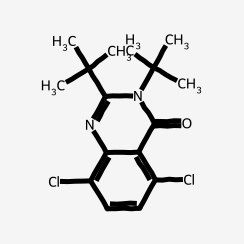 CC(C)(C)c1nc2c(Cl)ccc(Cl)c2c(=O)n1C(C)(C)C